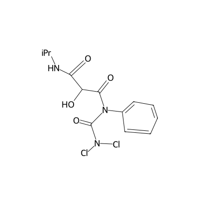 CC(C)NC(=O)C(O)C(=O)N(C(=O)N(Cl)Cl)c1ccccc1